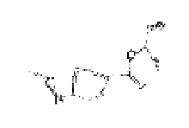 CCCC(F)OC(=O)c1ccc(N=C=S)cc1